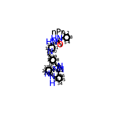 CCCc1ccccc1NC(=O)NC1CCN(Cc2ccc(-c3nnc4n3-c3cccnc3Nc3ccccc3-4)cc2)CC1